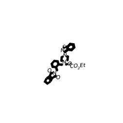 CCOC(=O)OC[N+]1(CC2CCCCC2CN2C(=O)C3C4CCC(C4)C3C2=O)CCN(c2nsc3ccccc23)CC1